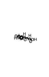 O=C(O)NCCC(=O)Nc1ccc2c(c1)CC(=O)N2